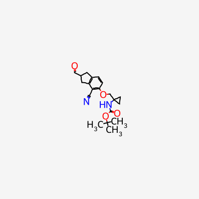 CC(C)(C)OC(=O)NC1(COc2ccc3c(c2C#N)CC(C=O)C3)CC1